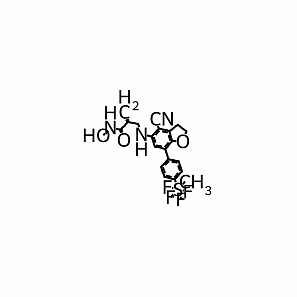 C=C(CNc1cc(-c2ccc(S(C)(F)(F)(F)F)cc2)c2c(c1C#N)CCO2)C(=O)NO